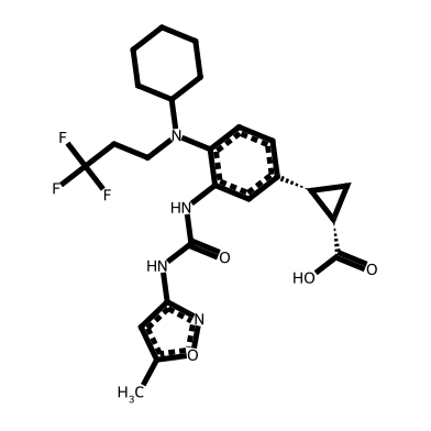 Cc1cc(NC(=O)Nc2cc([C@@H]3C[C@@H]3C(=O)O)ccc2N(CCC(F)(F)F)C2CCCCC2)no1